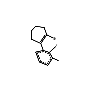 CCC1=C(c2cccc(F)c2F)CCCC1